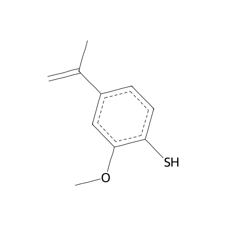 C=C(C)c1ccc(S)c(OC)c1